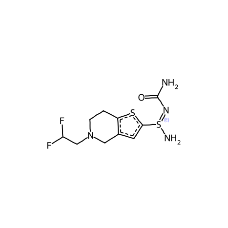 NC(=O)/N=S(/N)c1cc2c(s1)CCN(CC(F)F)C2